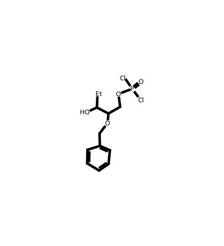 CCC(O)C(COP(=O)(Cl)Cl)OCc1ccccc1